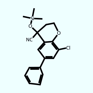 C[Si](C)(C)OC1(C#N)CCOc2c(Cl)cc(-c3ccccc3)cc21